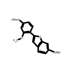 CCCCCc1ccc(-c2cc3ccc(SC)cc3o2)c(OC(F)(F)F)c1